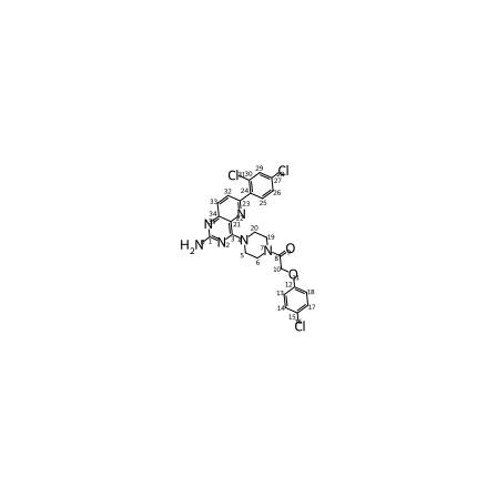 Nc1nc(N2CCN(C(=O)COc3ccc(Cl)cc3)CC2)c2nc(-c3ccc(Cl)cc3Cl)ccc2n1